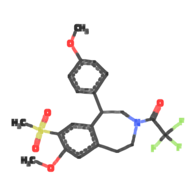 COc1ccc(C2CN(C(=O)C(F)(F)F)CCc3cc(OC)c(S(C)(=O)=O)cc32)cc1